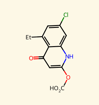 CCc1cc(Cl)cc2[nH]c(OC(=O)O)cc(=O)c12